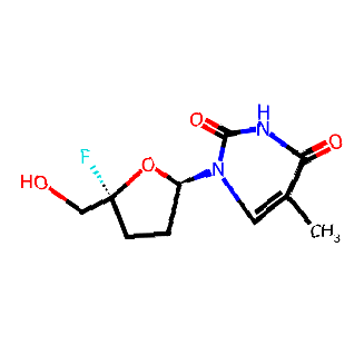 Cc1cn([C@H]2CC[C@@](F)(CO)O2)c(=O)[nH]c1=O